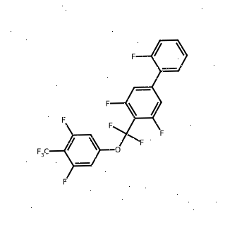 Fc1ccccc1-c1cc(F)c(C(F)(F)Oc2cc(F)c(C(F)(F)F)c(F)c2)c(F)c1